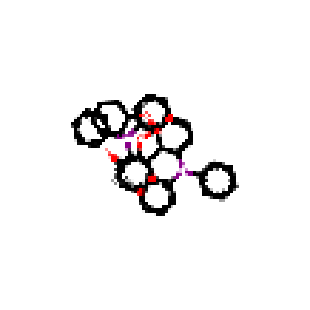 COC(=O)COC1(OC2CCCCC2)C=CC=C(P(c2ccccc2)c2ccccc2)C1c1ccccc1P(c1ccccc1)c1ccccc1